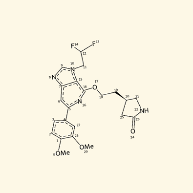 COc1ccc(-c2cc3ncn(CC(F)F)c3c(OCC[C@H]3CNC(=O)C3)n2)cc1OC